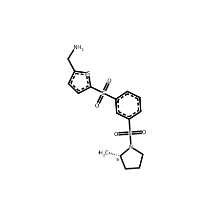 [CH2][C@H]1CCCN1S(=O)(=O)c1cccc(S(=O)(=O)c2ccc(CN)s2)c1